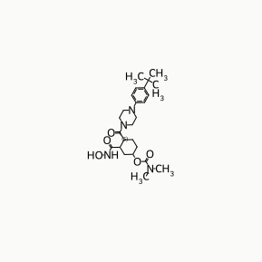 CN(C)C(=O)OC1CC[C@H](C(=O)N2CCN(c3ccc(C(C)(C)C)cc3)CC2)C(C(=O)NO)C1